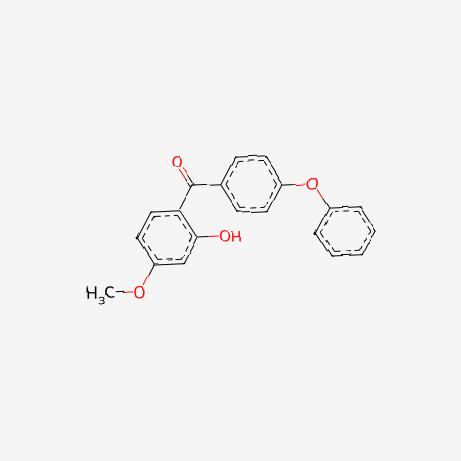 COc1ccc(C(=O)c2ccc(Oc3ccccc3)cc2)c(O)c1